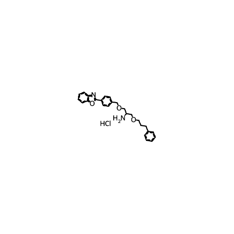 Cl.NC(COCCCc1ccccc1)COCc1ccc(-c2nc3ccccc3o2)cc1